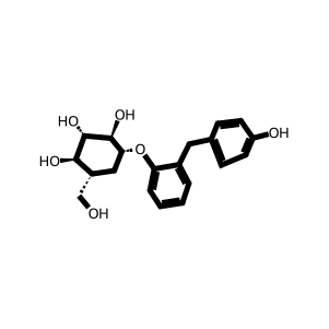 OC[C@H]1C[C@@H](Oc2ccccc2Cc2ccc(O)cc2)[C@H](O)[C@@H](O)[C@@H]1O